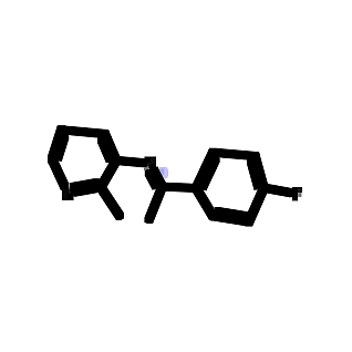 C/C(=N\c1cccnc1C)c1ccc(F)cc1